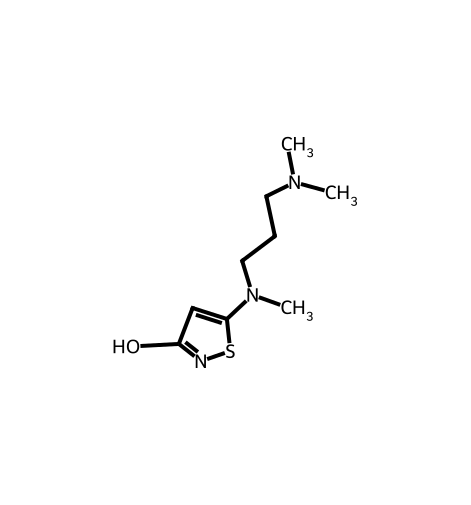 CN(C)CCCN(C)c1cc(O)ns1